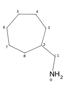 N[CH]C1CCCCCC1